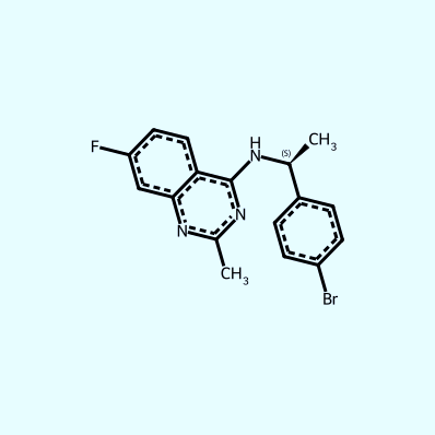 Cc1nc(N[C@@H](C)c2ccc(Br)cc2)c2ccc(F)cc2n1